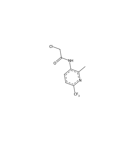 Cc1nc(C(F)(F)F)ccc1NC(=O)CCl